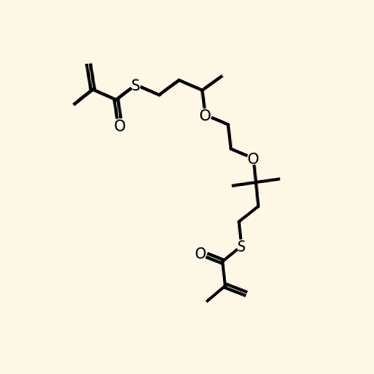 C=C(C)C(=O)SCCC(C)OCCOC(C)(C)CCSC(=O)C(=C)C